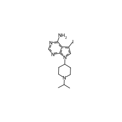 CC(C)N1CCC(n2cc(I)c3c(N)ncnc32)CC1